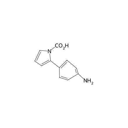 Nc1ccc(-c2cccn2C(=O)O)cc1